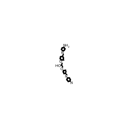 C=Nc1ccc(/N=C/c2ccc(OCC(O)COc3ccc(/C=N/c4ccc(N)cc4)cc3)cc2)cc1